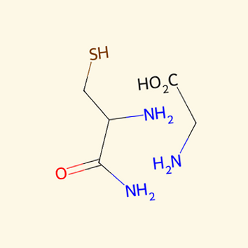 NC(=O)C(N)CS.NCC(=O)O